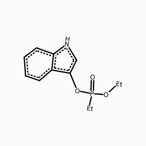 CCOP(=O)(CC)Oc1c[nH]c2ccccc12